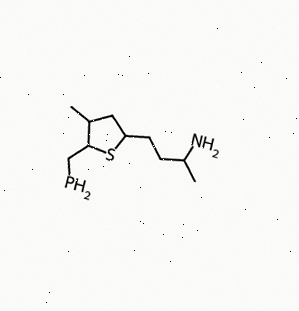 CC(N)CCC1CC(C)C(CP)S1